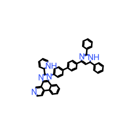 C1=CNC(c2nc3c4cnccc4c4ccccc4c3n2-c2ccc(-c3ccc(C4=CC(c5ccccc5)NC(c5ccccc5)=N4)cc3)cc2)C=C1